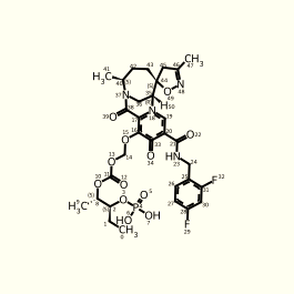 CC[C@H](OP(=O)(O)O)[C@H](C)OC(=O)OCOc1c2n(cc(C(=O)NCc3ccc(F)cc3F)c1=O)[C@@H]1CN(C2=O)[C@@H](C)CC[C@]12CC(C)=NO2